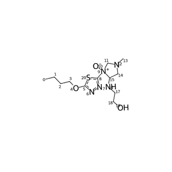 CCCCOc1nnc([N+]2([O-])CN(C)CC2NCCO)s1